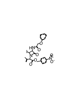 C=C(C)C(C(=O)OCc1ccc([N+](=O)[O-])cc1)N1C(=O)C(NC(=O)COc2ccccc2)C1I